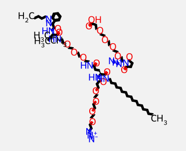 C=CCCCn1nc(C(=O)N[C@H](C(=O)NCCOCCOCCOCCNC(=O)CC[C@H](NC(=O)CCOCCOCCOCCOCCN=[N+]=[N-])C(=O)NCCCCCCCCCCCCCCCCCC)C(C)(C)C)c2ccccc21.[N-]=[N+]=NC(COCCOCCOCCOCCC(=O)O)N1C(=O)CCC1=O